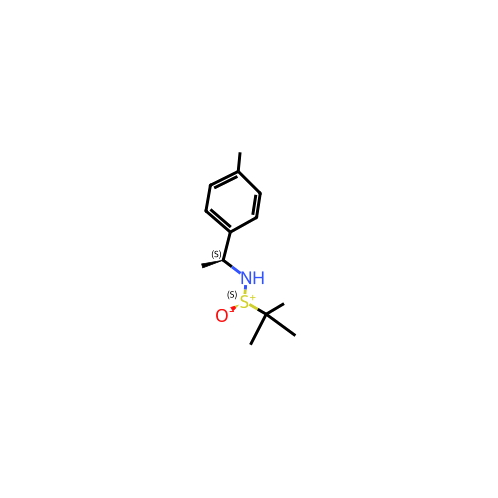 Cc1ccc([C@H](C)N[S@+]([O-])C(C)(C)C)cc1